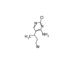 CC(CCBr)c1cnc(Cl)nc1N